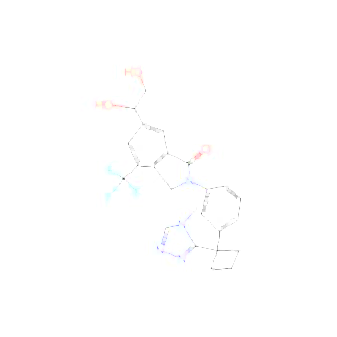 Cn1cnnc1C1(c2cccc(N3Cc4c(cc(C(O)CO)cc4C(F)(F)F)C3=O)c2)CCC1